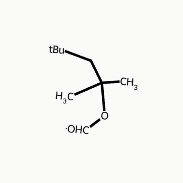 CC(C)(C)CC(C)(C)O[C]=O